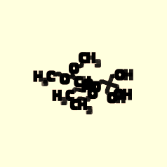 CCC=O.CCC=O.CCOC(C)OCC.OCC(CO)(CO)CO